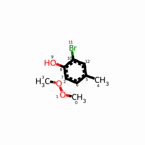 COOC.Cc1ccc(O)c(Br)c1